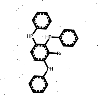 Brc1c(Pc2ccccc2)[c]cc(Pc2ccccc2)c1Pc1ccccc1